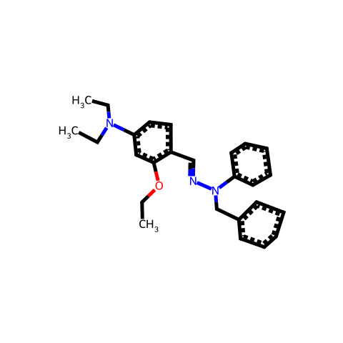 CCOc1cc(N(CC)CC)ccc1/C=N/N(Cc1ccccc1)c1ccccc1